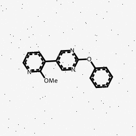 COc1ncccc1-c1cnc(Oc2ccccc2)nc1